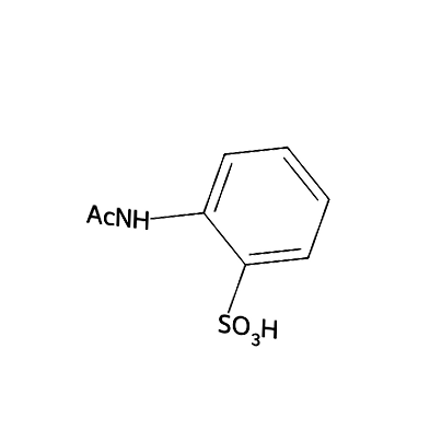 CC(=O)Nc1ccccc1S(=O)(=O)O